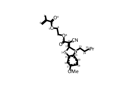 C=C(C)C(=O)OCCOC(=O)/C(C#N)=C1\Sc2cc(OC)ccc2N1CCC(C)C